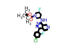 CC(C)(C)OC(=O)N1C[C@H](F)C[C@@H](Nc2nnc(-c3ccc(Cl)cc3F)c3ccncc23)C1